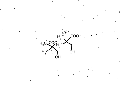 CC(C)(CO)C(=O)[O-].CC(C)(CO)C(=O)[O-].[Zn+2]